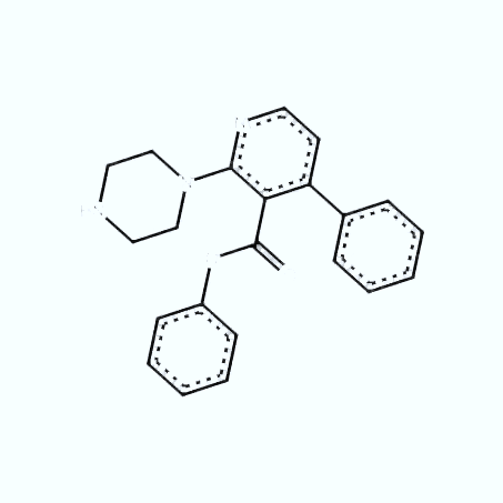 O=C(Oc1ccccc1)c1c(-c2ccccc2)ccnc1N1CCNCC1